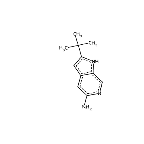 CC(C)(C)c1cc2cc(N)ncc2[nH]1